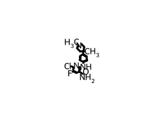 CN1CCC(C)(c2ccc(Nc3nc(Cl)c(F)cc3C(N)=O)cc2)CC1